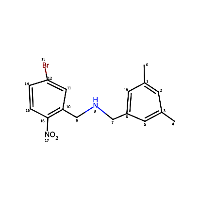 Cc1cc(C)cc(CNCc2cc(Br)ccc2[N+](=O)[O-])c1